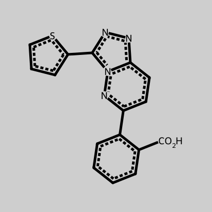 O=C(O)c1ccccc1-c1ccc2nnc(-c3cccs3)n2n1